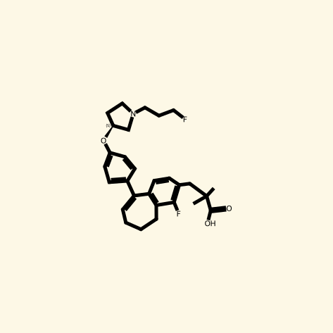 CC(C)(Cc1ccc2c(c1F)CCCC=C2c1ccc(O[C@H]2CCN(CCCF)C2)cc1)C(=O)O